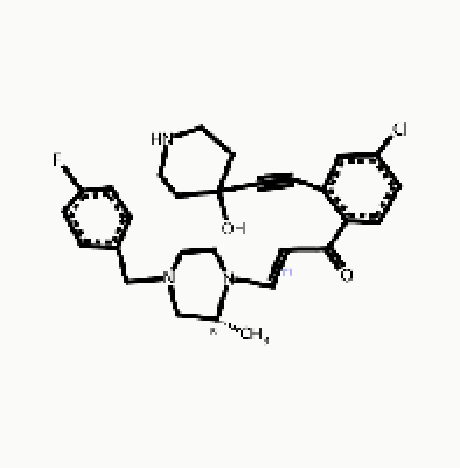 C[C@@H]1CN(Cc2ccc(F)cc2)CCN1/C=C/C(=O)c1ccc(Cl)cc1C#CC1(O)CCNCC1